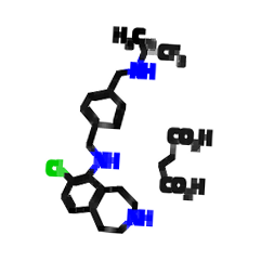 C[C@@H](NCc1ccc(CNc2c(Cl)ccc3c2CCNCC3)cc1)C(F)(F)F.O=C(O)CCC(=O)O